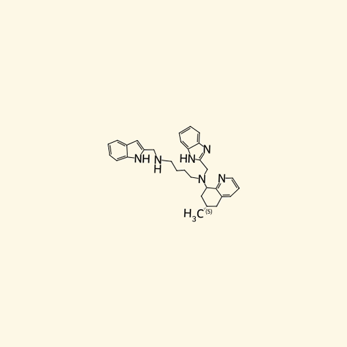 C[C@H]1Cc2cccnc2C(N(CCCCNCc2cc3ccccc3[nH]2)Cc2nc3ccccc3[nH]2)C1